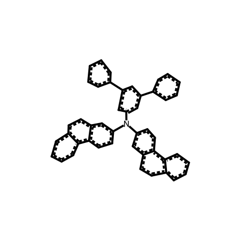 c1ccc(-c2cc(-c3ccccc3)cc(N(c3ccc4c(ccc5ccccc54)c3)c3ccc4c(ccc5ccccc54)c3)c2)cc1